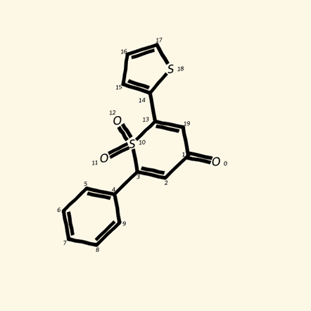 O=C1C=C(c2ccccc2)S(=O)(=O)C(c2cccs2)=C1